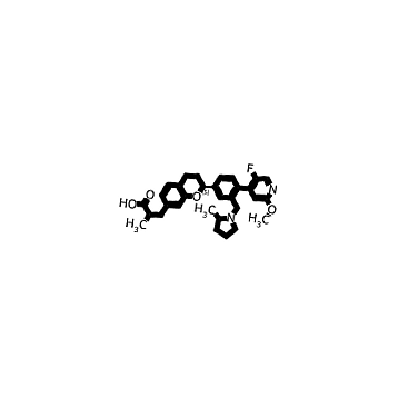 COc1cc(-c2ccc([C@@H]3CCc4ccc(CC(C)C(=O)O)cc4O3)cc2CN2CCCC2C)c(F)cn1